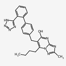 CCCCc1c(Cc2ccc(-c3ccccc3-c3nnn[nH]3)cc2)c(O)nc2nc(C)nn12